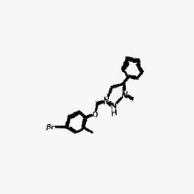 Cc1cc(Br)ccc1OCN1CC(c2ccccc2)N(C)N1